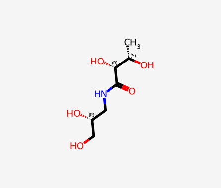 C[C@H](O)[C@@H](O)C(=O)NC[C@@H](O)CO